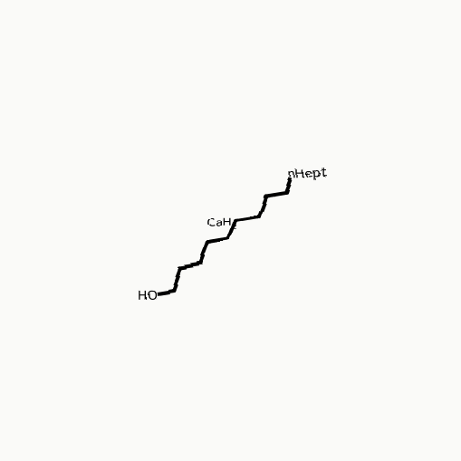 CCCCCCCCCCCCCCCCO.[CaH2]